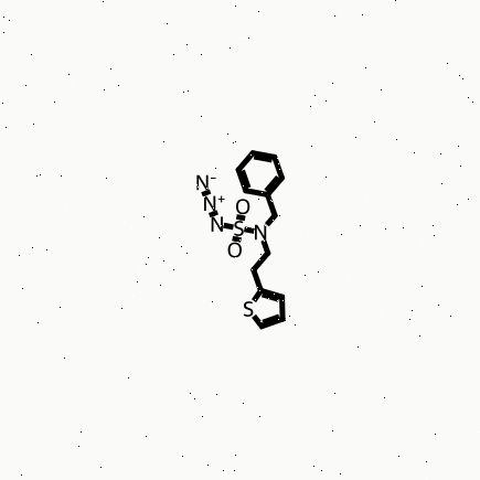 [N-]=[N+]=NS(=O)(=O)N(CCc1cccs1)Cc1ccccc1